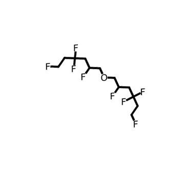 FCCC(F)(F)CC(F)COCC(F)CC(F)(F)CCF